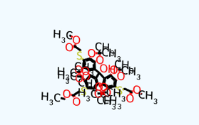 CCOC(=O)CSc1c2c(c(C(O)(c3c4c(c(SCC(=O)OC)c5c3OC(C)(C)O5)OC(C)(C)O4)c3c4c(c(SCC(=O)OC)c5c3OC(C)(C)O5)OC(C)(C)O4)c3c1OC(C)(C)O3)OC(C)(C)O2